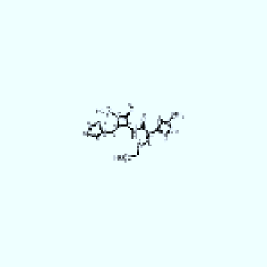 Nc1nc(/C(=N/OCC(=O)O)C(=O)NC2C(=O)N(S(=O)(=O)O)C2Cn2cncn2)ns1